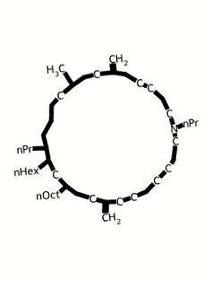 C=C1CCCCCN(CCC)CCCCCCCC(=C)CCC(CCCCCCCC)CC(CCCCCC)C(CCC)CCCCC(C)CC1